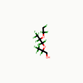 OCC(F)(OC(F)(F)C(F)(OC(F)(F)CF)C(F)(F)F)C(F)(F)F